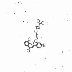 O=c1cc(-c2ccc(Br)cc2OCCCO[C@H]2C[C@H](C(=O)O)C2)oc2c(Cl)cccc12